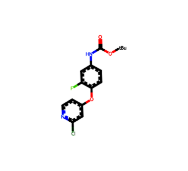 CC(C)(C)OC(=O)Nc1ccc(Oc2ccnc(Cl)c2)c(F)c1